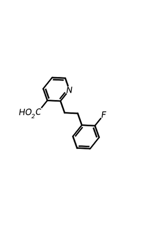 O=C(O)c1cccnc1CCc1ccccc1F